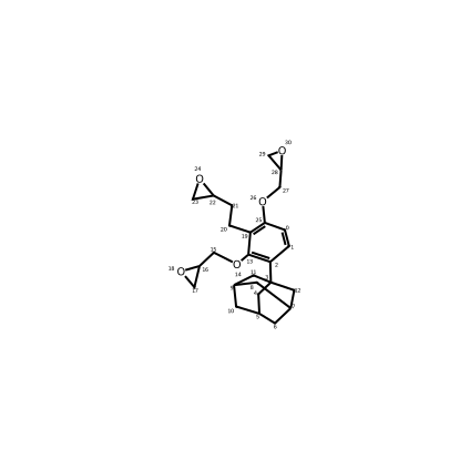 c1cc(C23CC4CC(CC(C4)C2)C3)c(OCC2CO2)c(CCC2CO2)c1OCC1CO1